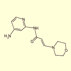 Nc1ccnc(NC(=O)C=CN2CCOCC2)c1